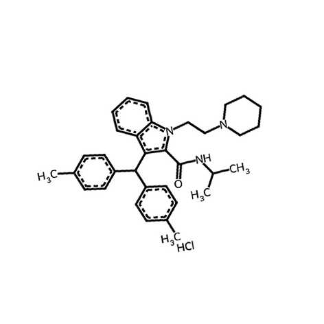 Cc1ccc(C(c2ccc(C)cc2)c2c(C(=O)NC(C)C)n(CCN3CCCCC3)c3ccccc23)cc1.Cl